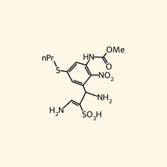 CCCSc1cc(NC(=O)OC)c([N+](=O)[O-])c(C(N)C(=CN)S(=O)(=O)O)c1